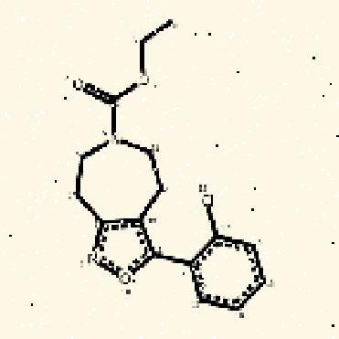 CCOC(=O)N1CCc2noc(-c3ccccc3Cl)c2CC1